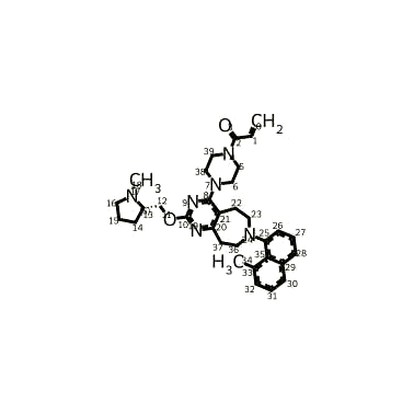 C=CC(=O)N1CCN(c2nc(OC[C@@H]3CCCN3C)nc3c2CCN(c2cccc4cccc(C)c24)CC3)CC1